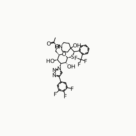 CC(=O)OC[C@H]1O[C@@H](S[C@H](c2ccccc2C(F)(F)F)C2(O)CCNCC2)[C@H](O)[C@@H](n2cc(-c3cc(F)c(F)c(F)c3)nn2)[C@H]1O